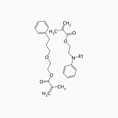 C=C(C)C(=O)OCCN(CC)c1ccccc1.C=C(C)C(=O)OCCOCCCc1ccccc1